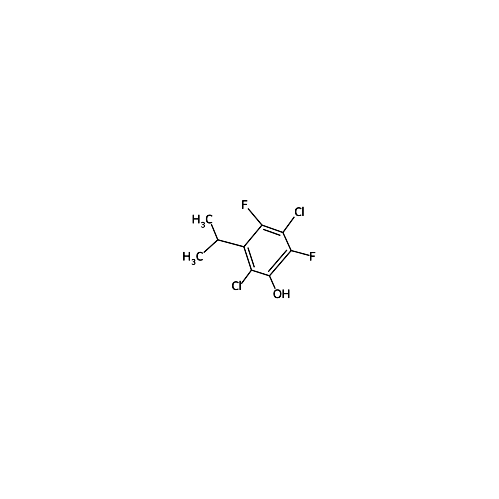 CC(C)c1c(F)c(Cl)c(F)c(O)c1Cl